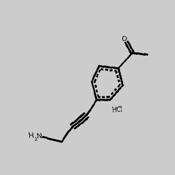 CC(=O)c1ccc(C#CCN)cc1.Cl